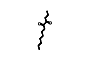 CCCCCCCC(=O)C(=O)CCC